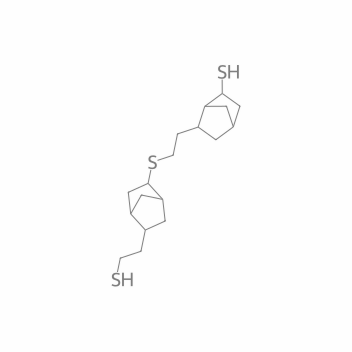 SCCC1CC2CC1CC2SCCC1CC2CC(S)C1C2